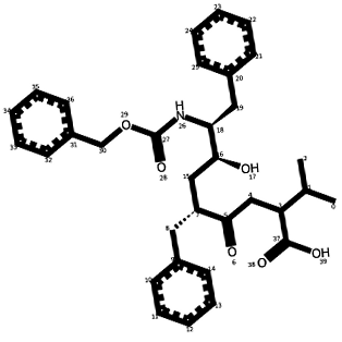 CC(C)C(CC(=O)[C@H](Cc1ccccc1)C[C@H](O)[C@H](Cc1ccccc1)NC(=O)OCc1ccccc1)C(=O)O